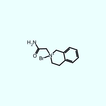 NC(=O)C[N+]1(Br)CCc2ccccc2C1